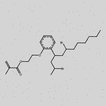 C=C(C)C(=O)OCCOc1ccccc1C(CC(C)Br)CC(Br)CCCCCC